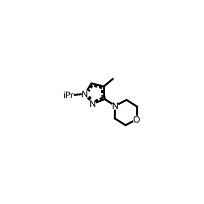 Cc1cn(C(C)C)nc1N1CCOCC1